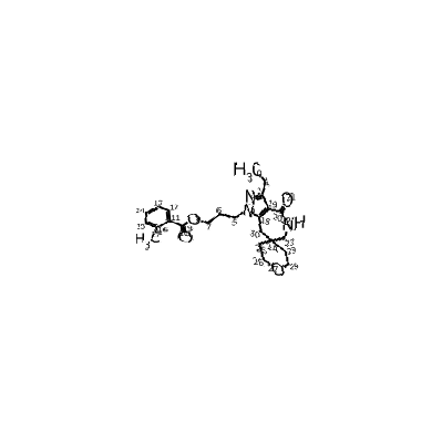 CCc1nn(CCCOC(=O)c2ccccc2C)c2c1C(=O)NCC1(CCOCC1)C2